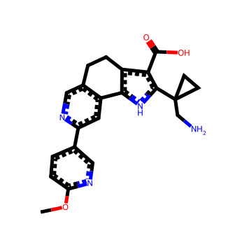 COc1ccc(-c2cc3c(cn2)CCc2c-3[nH]c(C3(CN)CC3)c2C(=O)O)cn1